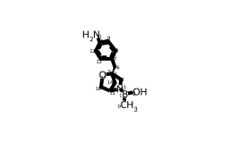 CB(O)N1C[C@]2(Cc3ccc(N)cc3)CC1CO2